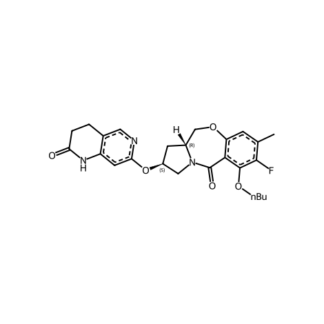 CCCCOc1c(F)c(C)cc2c1C(=O)N1C[C@@H](Oc3cc4c(cn3)CCC(=O)N4)C[C@@H]1CO2